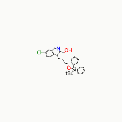 CC(C)(C)[Si](OCCCCc1c(CO)ncc2cc(Cl)ccc12)(c1ccccc1)c1ccccc1